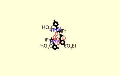 CCOC(=O)C1CC(=O)C(=C(O)C2CC2)C(=O)C1.Cc1ccc(C(=O)O)c(C2=NC(C)(C(C)C)C(=O)N2)c1.Cc1ccc(C2=NC(C)(C(C)C)C(=O)N2)c(C(=O)O)c1